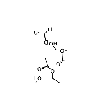 CC(=O)O.CCOC(C)=O.CO.ClC(Cl)Cl.O